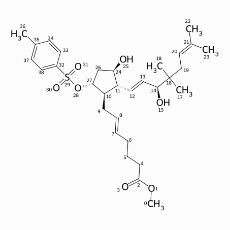 COC(=O)CCCC=CC[C@@H]1[C@@H](C=C[C@H](O)C(C)(C)CC=C(C)C)[C@H](O)C[C@H]1OS(=O)(=O)c1ccc(C)cc1